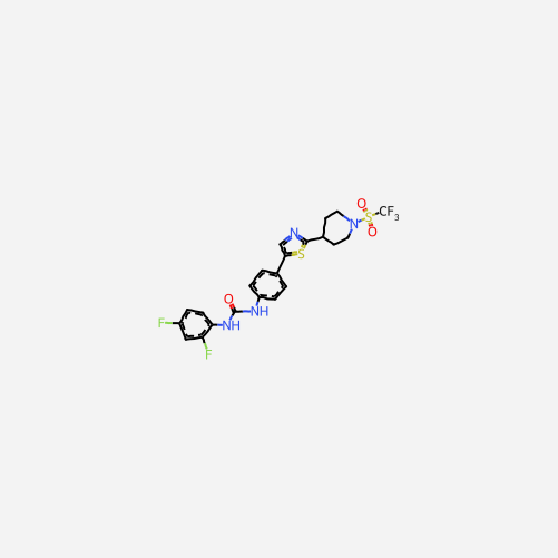 O=C(Nc1ccc(-c2cnc(C3CCN(S(=O)(=O)C(F)(F)F)CC3)s2)cc1)Nc1ccc(F)cc1F